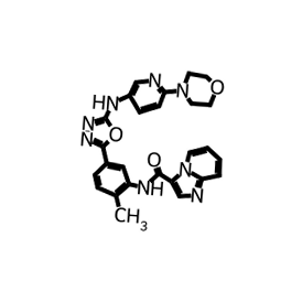 Cc1ccc(-c2nnc(Nc3ccc(N4CCOCC4)nc3)o2)cc1NC(=O)c1cnc2ccccn12